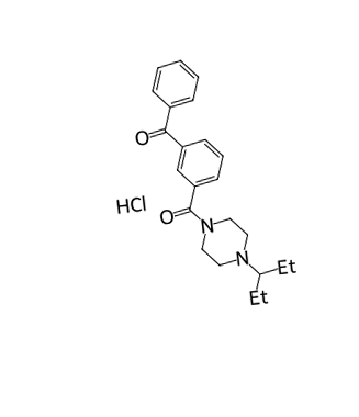 CCC(CC)N1CCN(C(=O)c2cccc(C(=O)c3ccccc3)c2)CC1.Cl